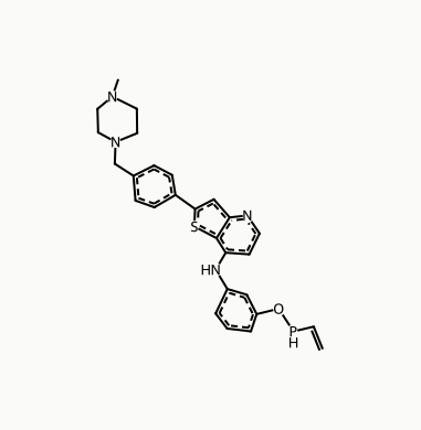 C=CPOc1cccc(Nc2ccnc3cc(-c4ccc(CN5CCN(C)CC5)cc4)sc23)c1